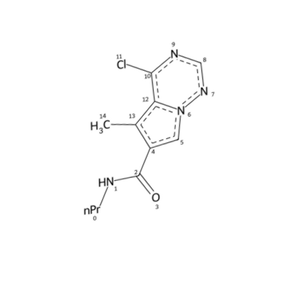 CCCNC(=O)c1cn2ncnc(Cl)c2c1C